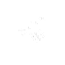 CCCCN1C=CN(C)C1.O=[N+]([O-])[O-].O=[N+]([O-])[O-].O=[N+]([O-])[O-].[La+3]